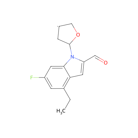 CCc1cc(F)cc2c1cc(C=O)n2C1C[CH]CO1